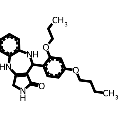 CCCCOc1ccc(C2Nc3ccccc3NC3=C2C(=O)NC3)c(OCCC)c1